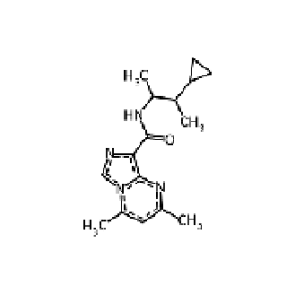 Cc1cc(C)n2cnc(C(=O)NC(C)C(C)C3CC3)c2n1